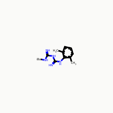 CCC(C)NC(=N)NC(=N)Nc1c(C)cccc1C